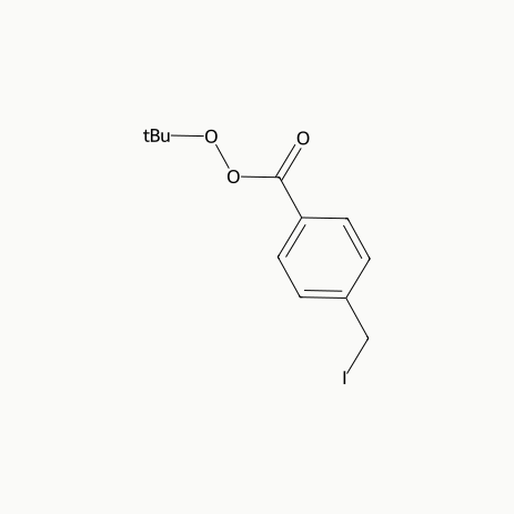 CC(C)(C)OOC(=O)c1ccc(CI)cc1